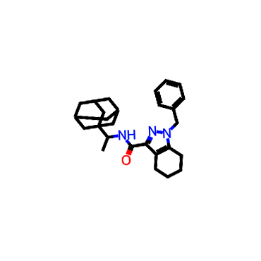 CC(NC(=O)c1nn(Cc2ccccc2)c2c1CCCC2)C12CC3CC(CC(C3)C1)C2